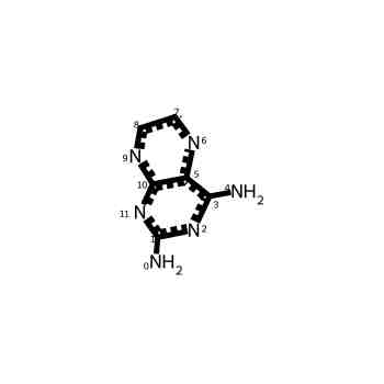 Nc1nc(N)c2n[c]cnc2n1